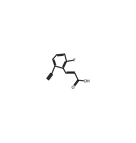 C#Cc1cccc(F)c1/C=C/C(=O)O